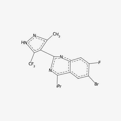 Cc1n[nH]c(C(F)(F)F)c1-c1nc(C(C)C)c2cc(Br)c(F)cc2n1